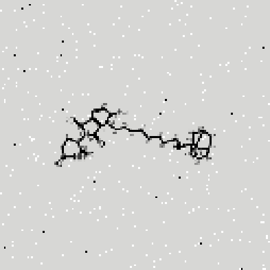 O=C1CCC(N2C(=O)c3ccc(F)c(CCCCCCCCNC45CC6CC(CC(C6)C4)C5)c3C2=O)C(=O)N1